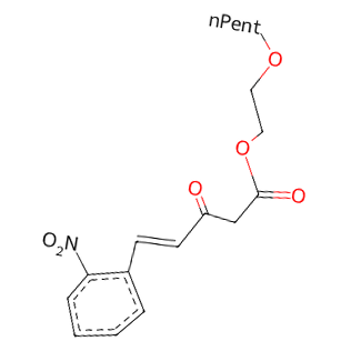 CCCCCOCCOC(=O)CC(=O)C=Cc1ccccc1[N+](=O)[O-]